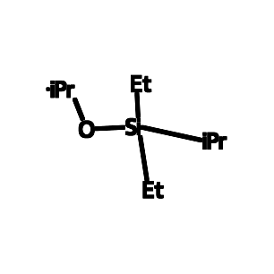 CC[Si](CC)(O[C](C)C)C(C)C